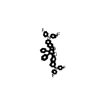 Fc1ccc(N(c2ccc(F)cc2)c2ccc3cc4c(cc3c2)oc2c3oc5cc6cc(N(c7ccc(F)cc7)c7ccc(F)cc7)ccc6cc5c3c(-c3ccccc3)c(-c3ccccc3)c42)cc1